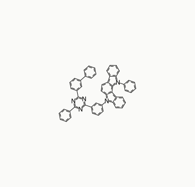 c1ccc(-c2cccc(-c3nc(-c4ccccc4)nc(-c4cccc(-n5c6ccccc6c6c5ccc5c7ccccc7n(-c7ccccc7)c56)c4)n3)c2)cc1